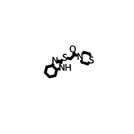 O=C(CSC1=NC2CCCCC2N1)N1CCSCC1